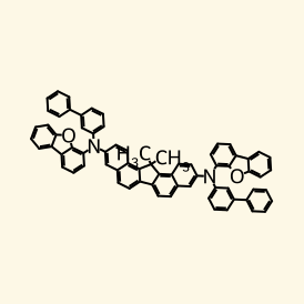 CC1(C)c2c(ccc3cc(N(c4cccc(-c5ccccc5)c4)c4cccc5c4oc4ccccc45)ccc23)-c2ccc3cc(N(c4cccc(-c5ccccc5)c4)c4cccc5c4oc4ccccc45)ccc3c21